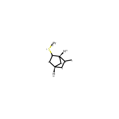 CC(C)SC1C[C@H]2CC(C)[C@@H]1C2